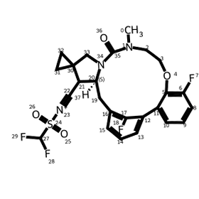 CN1CCOc2c(F)cccc2-c2cccc(c2F)C[C@H]2C(C#[N+]S(=O)(=O)C(F)F)C3(CC3)CN2C1=O